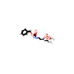 CCC[C@H](CCNC(=O)OCC1C=CC=CC1)OP(=O)(O)OC